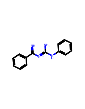 N=C(/N=C(\N)Nc1ccccc1)c1ccccc1